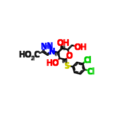 O=C(O)c1cn([C@@H]2C(O)[C@@H](Sc3ccc(Cl)c(Cl)c3)OC(CO)[C@@H]2O)nn1